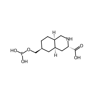 O=C(O)[C@@H]1C[C@H]2C[C@@H](COP(O)O)CC[C@H]2CN1